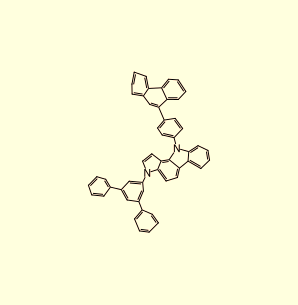 c1ccc(-c2cc(-c3ccccc3)cc(-n3ccc4c3ccc3c5ccccc5n(-c5ccc(-c6cc7ccccc7c7ccccc67)cc5)c34)c2)cc1